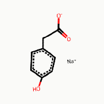 O=C([O-])Cc1ccc(O)cc1.[Na+]